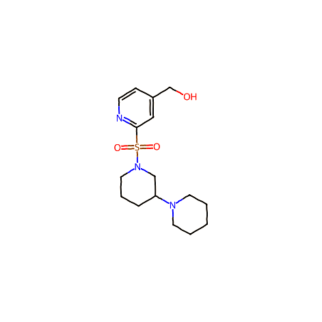 O=S(=O)(c1cc(CO)ccn1)N1CCCC(N2CCCCC2)C1